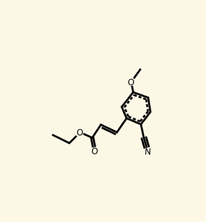 CCOC(=O)/C=C/c1cc(OC)ccc1C#N